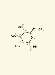 Br.CC(=O)OC[C@H]1O[C@H](Br)[C@H](N)[C@@H](OC(C)=O)[C@@H]1OC(C)=O